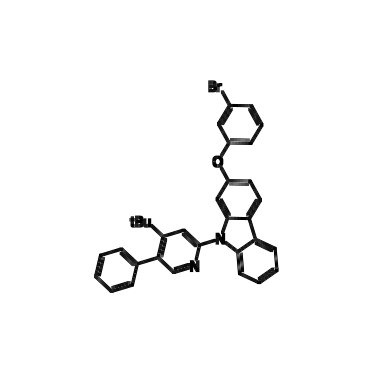 CC(C)(C)c1cc(-n2c3ccccc3c3ccc(Oc4cccc(Br)c4)cc32)ncc1-c1ccccc1